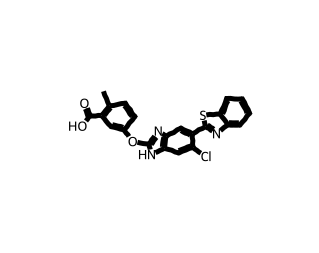 Cc1ccc(Oc2nc3cc(-c4nc5ccccc5s4)c(Cl)cc3[nH]2)cc1C(=O)O